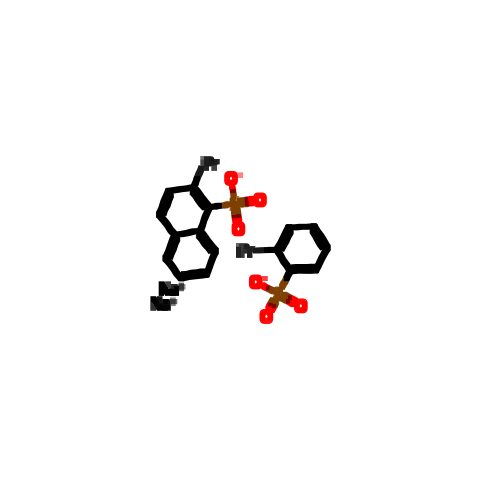 CC(C)c1ccc2ccccc2c1S(=O)(=O)[O-].CC(C)c1ccccc1S(=O)(=O)[O-].[Na+].[Na+]